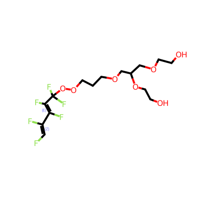 OCCOCC(COCCCOOC(F)(F)/C(F)=C(F)/C(F)=C/F)OCCO